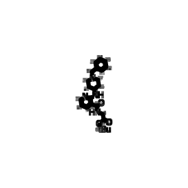 CC(C)(C)OC(=O)CNC(=O)c1cccnc1NC1CCN(Cc2ccccc2)CC1